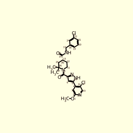 COc1cc(-c2cc(C(=O)N3CC[C@@H](C(=O)NCc4cccc(Cl)c4)CC3(C)C)n[nH]2)c(Cl)cn1